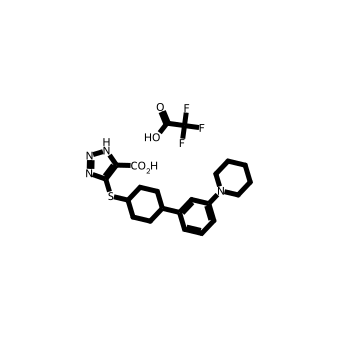 O=C(O)C(F)(F)F.O=C(O)c1[nH]nnc1SC1CCC(c2cccc(N3CCCCC3)c2)CC1